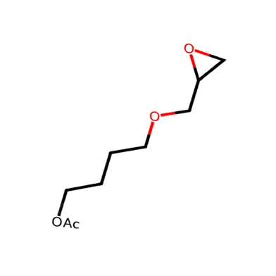 CC(=O)OCCCCOCC1CO1